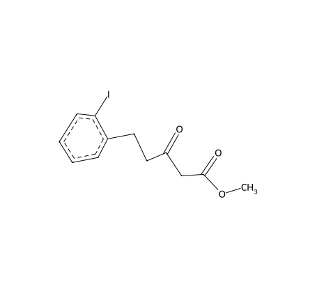 COC(=O)CC(=O)CCc1ccccc1I